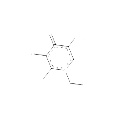 Cc1c(Br)c(=O)c(C(=O)O)cn1CC(F)(F)F